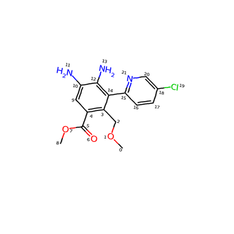 COCc1c(C(=O)OC)cc(N)c(N)c1-c1ccc(Cl)cn1